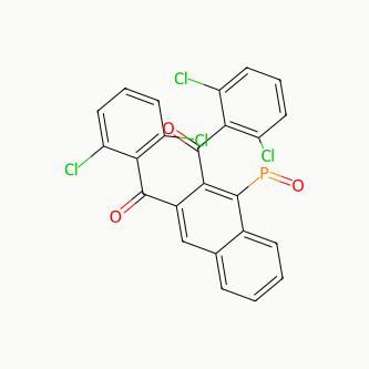 O=Pc1c(C(=O)c2c(Cl)cccc2Cl)c(C(=O)c2c(Cl)cccc2Cl)cc2ccccc12